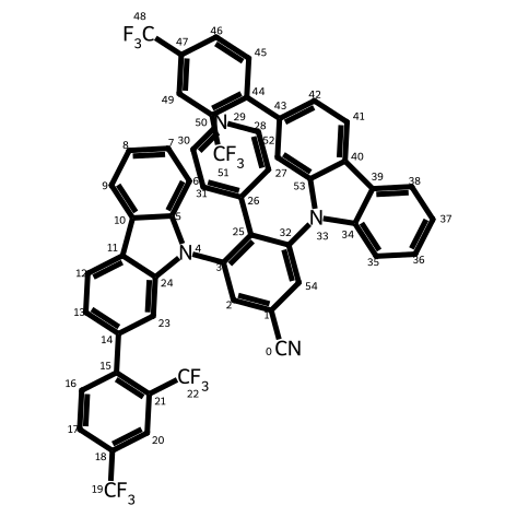 N#Cc1cc(-n2c3ccccc3c3ccc(-c4ccc(C(F)(F)F)cc4C(F)(F)F)cc32)c(-c2ccncc2)c(-n2c3ccccc3c3ccc(-c4ccc(C(F)(F)F)cc4C(F)(F)F)cc32)c1